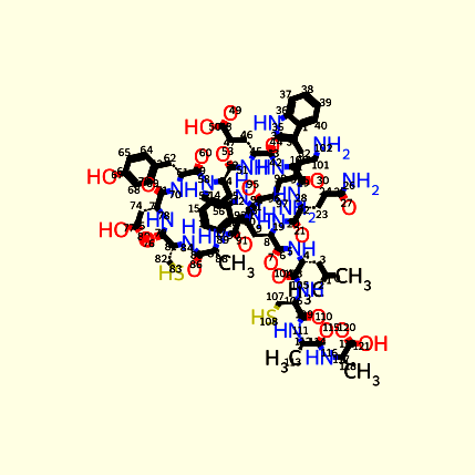 CC(C)C[C@@H](NC(=O)[C@@H](Cc1c[nH]c2ccccc12)NC(=O)[C@@H](CCC(N)=O)NC(=O)[C@@H](Cc1c[nH]c2ccccc12)NC(=O)[C@@H](CCC(=O)O)NC(=O)[C@H]1CCCN1C(=O)[C@@H](Cc1ccc(O)cc1)NC(=O)[C@@H](CC(=O)O)NC(=O)[C@@H](CS)NC(=O)[C@@H](C)NC(=O)CNC(=O)[C@H](N)CCCCN)C(=O)N[C@H](CS)C(=O)N[C@H](C)C(=O)N[C@H](C)C(=O)O